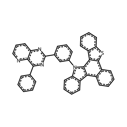 c1ccc(-c2nc(-c3cccc(-n4c5ccccc5c5c6ccccc6c6sc7ccccc7c6c54)c3)nc3cccnc23)cc1